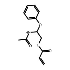 C=CC(=O)OCC(NC(C)=O)Oc1ccccc1